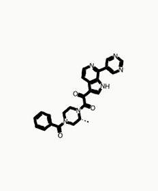 C[C@@H]1CN(C(=O)c2ccccc2)CCN1C(=O)C(=O)c1c[nH]c2c(-c3cncnc3)nccc12